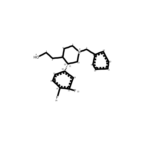 OCCC1CCN(Cc2ccccc2)C[C@@H]1c1ccc(F)c(F)c1